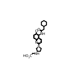 O=C(O)CN[C@H]1CCN(c2ccc3c(NC(=O)CC4CCCCC4)c(Cl)ccc3n2)C1